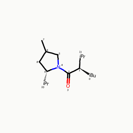 CCC(C)[C@@H](C(=O)N1CC(C)C[C@H]1C(C)C)C(C)C